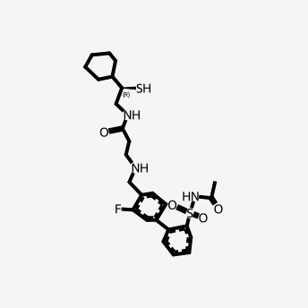 CC(=O)NS(=O)(=O)c1ccccc1-c1ccc(CNCCC(=O)NC[C@H](S)C2CCCCC2)c(F)c1